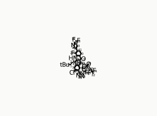 CC(C)(C)CCNC(=N)N(C(=O)c1ccc(-c2cnn(C(F)F)c2)c(F)c1)[C@H](COC(=O)NCC(C)(F)F)c1ccc(Cl)c(-c2ncnn2C(F)F)c1